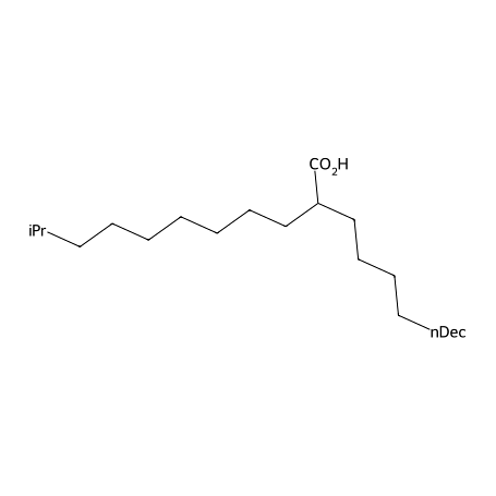 CCCCCCCCCCCCCCC(CCCCCCCC(C)C)C(=O)O